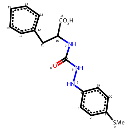 CSc1ccc(NNC(=O)NC(Cc2ccccc2)C(=O)O)cc1